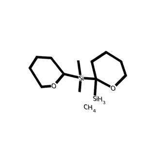 C.C[Si](C)(C1CCCCO1)C1([SiH3])CCCCO1